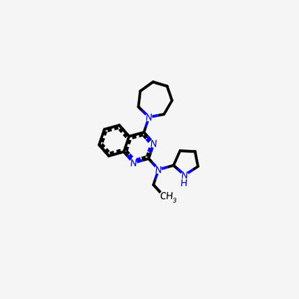 CCN(c1nc(N2CCCCCC2)c2ccccc2n1)C1CCCN1